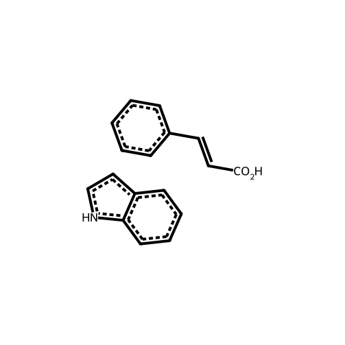 O=C(O)C=Cc1ccccc1.c1ccc2[nH]ccc2c1